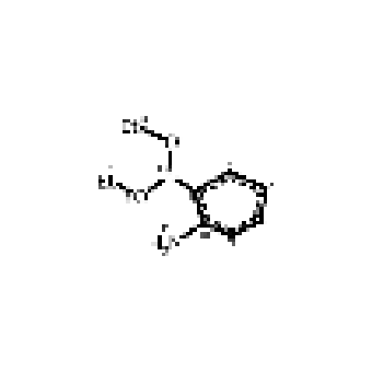 CCOP(OCC)c1ccccc1N